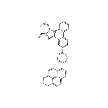 C=C[C@@H]1N=C2c3cc(C(=C)/C=C\C(=C/C)c4ccc5ccc6c7c(ccc4c57)=CCC6)ccc3-c3ccccc3N2C1/C=C\C